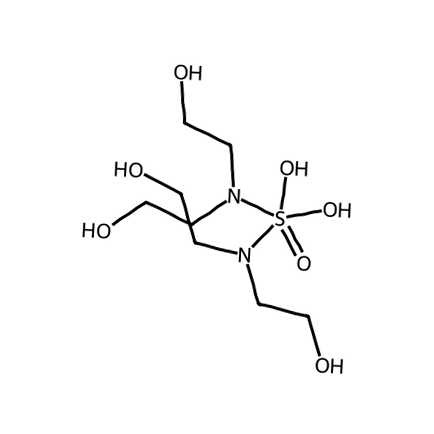 O=S(O)(O)(N(CCO)CCO)N(CCO)CCO